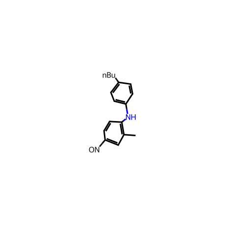 CCCCc1ccc(Nc2ccc(N=O)cc2C)cc1